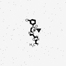 CC(F)c1nnc(-c2cnc(CN(c3cccc(Cl)c3)S(=O)(=O)C3CC3)s2)o1